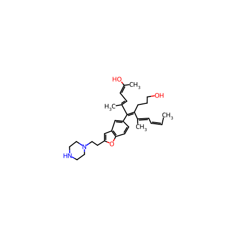 C\C=C/C=C(C)/C(CCCO)=C(/C(C)=C/C=C(\C)O)c1ccc2oc(CCN3CCNCC3)cc2c1